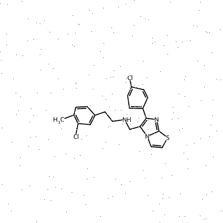 Cc1ccc(CCNCc2c(-c3ccc(Cl)cc3)nc3sccn23)cc1Cl